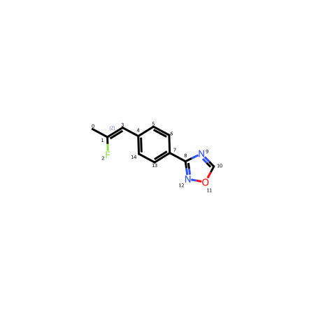 C/C(F)=C/c1ccc(-c2ncon2)cc1